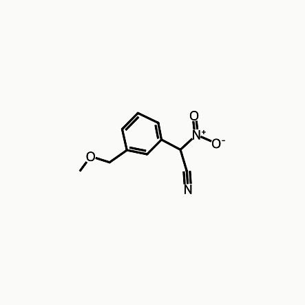 COCc1cccc(C(C#N)[N+](=O)[O-])c1